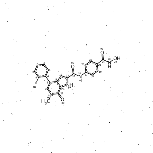 Cn1cc(-c2ccccc2F)c2cc(C(=O)Nc3ccc(C(=O)NO)cc3)[nH]c2c1=O